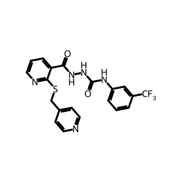 O=C(NNC(=O)c1cccnc1SCc1ccncc1)Nc1cccc(C(F)(F)F)c1